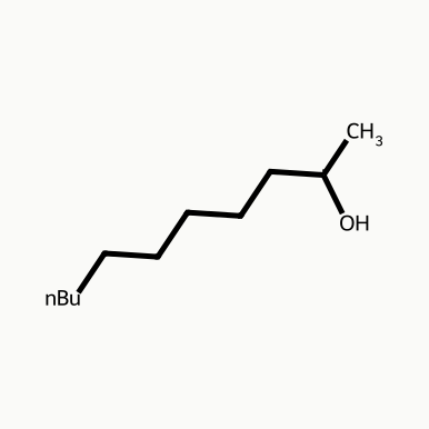 CCCCCCCCC[C](C)O